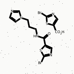 O=C(NCCCn1ccnc1)c1cnc(Br)s1.O=C(O)c1cnc(Br)s1